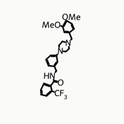 COc1ccc(CN2CCN(c3cccc(CNC(=O)c4ccccc4C(F)(F)F)c3)CC2)cc1OC